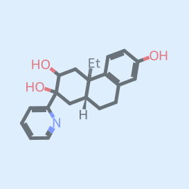 CCC12CC(O)C(O)(c3ccccn3)C[C@H]1CCc1cc(O)ccc12